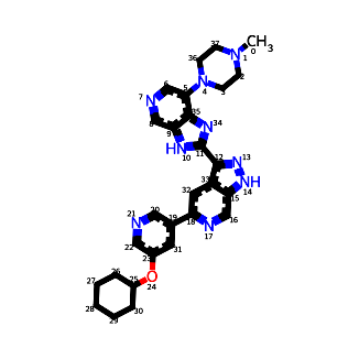 CN1CCN(c2cncc3[nH]c(-c4n[nH]c5cnc(-c6cncc(OC7CCCCC7)c6)cc45)nc23)CC1